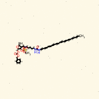 B[C@@H]1O[C@H](COC(=O)OCc2ccccc2)[C@H](OP(O)(=S)OC)C1C/C=C/CCCCNC(=O)NC#CC#CC#CC#CC#CC#CC#CC#CC#CC#CC